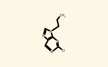 CCCn1cnc2cnc(Cl)nc21